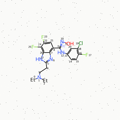 CCN(CC)CCc1nc2c(/C(=N/O)Nc3ccc(F)c(Cl)c3)cc(F)c(F)c2[nH]1